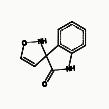 O=C1Nc2ccccc2C12C=CON2